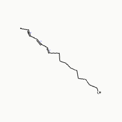 C/C=C/C=C/C=C/CCCCCCCCCO